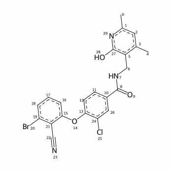 Cc1cc(C)c(CNC(=O)c2ccc(Oc3cccc(Br)c3C#N)c(Cl)c2)c(O)n1